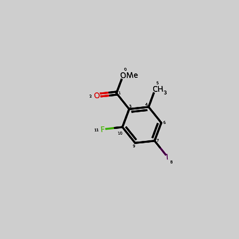 COC(=O)c1c(C)cc(I)cc1F